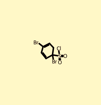 O=S(=O)(Cl)C1(Br)C=CC(Br)=CC1